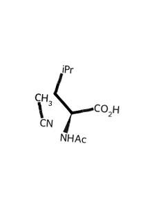 CC#N.CC(=O)N[C@@H](CC(C)C)C(=O)O